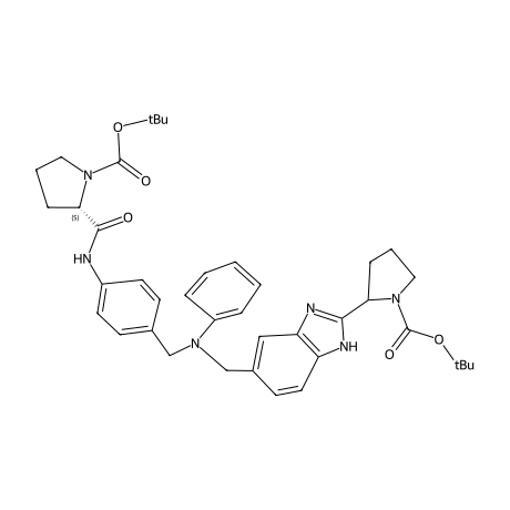 CC(C)(C)OC(=O)N1CCCC1c1nc2cc(CN(Cc3ccc(NC(=O)[C@@H]4CCCN4C(=O)OC(C)(C)C)cc3)c3ccccc3)ccc2[nH]1